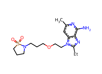 CCc1nc2c(N)nc(C)cc2n1CCOCCCN1CCCS1(=O)=O